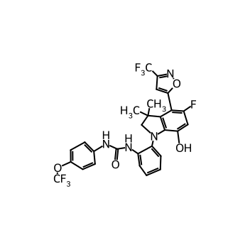 CC1(C)CN(c2ccccc2NC(=O)Nc2ccc(OC(F)(F)F)cc2)c2c(O)cc(F)c(-c3cc(C(F)(F)F)no3)c21